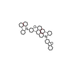 c1ccc(-c2ccccc2N(c2ccccc2)c2ccc3c(c2)Oc2cccc4c2c-3cc2ccc(N(c3ccc5c(c3)oc3ccccc35)c3ccccc3-c3ccccc3)cc24)cc1